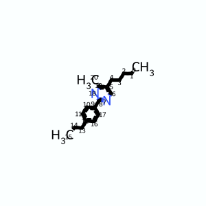 CCCCCc1cnc(-c2ccc(CCC)cc2)nc1C